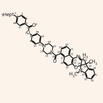 CCCCCCCc1ccc(C(=O)Oc2ccc(N3CCN(C(=O)c4cccc5c6c(ccc45)OC4(C=N6)N(C)c5ccccc5C4(C)C)CC3)cc2)cc1